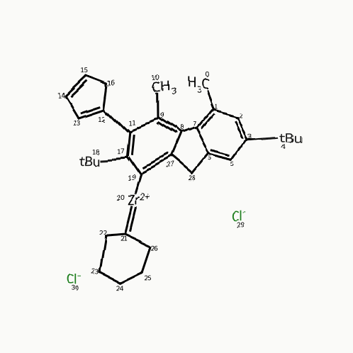 Cc1cc(C(C)(C)C)cc2c1-c1c(C)c(C3=CC=CC3)c(C(C)(C)C)[c]([Zr+2]=[C]3CCCCC3)c1C2.[Cl-].[Cl-]